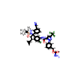 CC(C)(C)[S+]([O-])NC(CCC1CC1)(c1cccc(C#N)c1)c1ccc(F)c(NC(=O)c2cc(C(F)(F)F)nn2-c2cccc(COC(N)=O)c2)c1